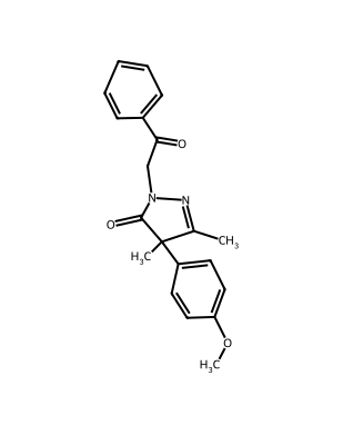 COc1ccc(C2(C)C(=O)N(CC(=O)c3ccccc3)N=C2C)cc1